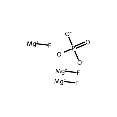 O=P([O-])([O-])[O-].[F][Mg+].[F][Mg+].[F][Mg+]